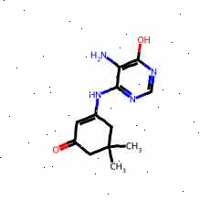 CC1(C)CC(=O)C=C(Nc2ncnc(O)c2N)C1